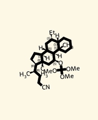 CC[C@H]1C[C@@H]2[C@H]([C@@H](OC(OC)(OC)OC)C[C@]3(C)[C@@H]([C@H](C)CCC#N)CC[C@@H]23)[C@@]2(C)CCCC[C@@H]12